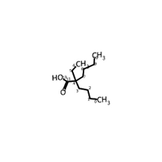 CCCCC(CC)(CCCC)C(=O)O